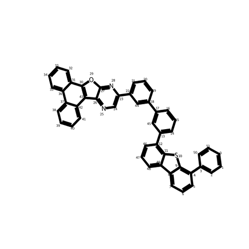 c1ccc(-c2cccc3c2sc2c(-c4cccc(-c5cccc(-c6cnc7c(n6)oc6c8ccccc8c8ccccc8c76)c5)c4)cccc23)cc1